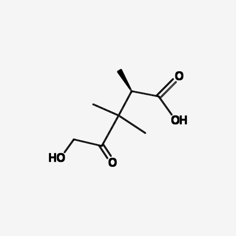 C[C@@H](C(=O)O)C(C)(C)C(=O)CO